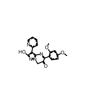 COc1ccc(C2=Nc3c(-c4ccccn4)c(O)nn3CC2=O)c(OC)c1